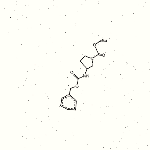 CCCCOC(=O)N1CCC(NC(=O)OCc2ccccc2)C1